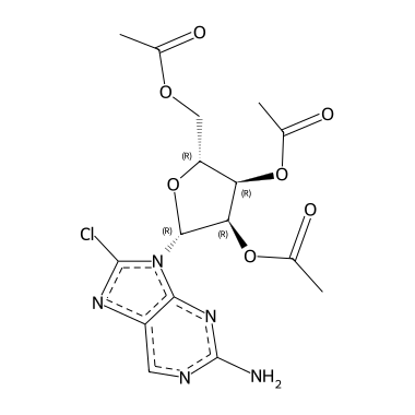 CC(=O)OC[C@H]1O[C@@H](n2c(Cl)nc3cnc(N)nc32)[C@H](OC(C)=O)[C@@H]1OC(C)=O